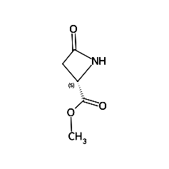 COC(=O)[C@@H]1CC(=O)N1